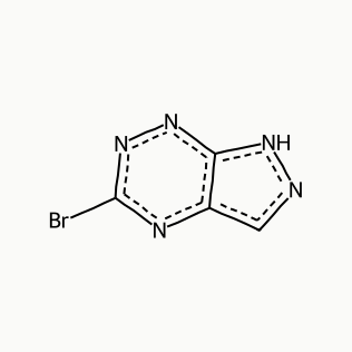 Brc1nnc2[nH]ncc2n1